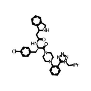 CC(C)Cn1nnnc1-c1ccccc1N1CCN(C(=O)[C@@H](Cc2ccc(Cl)cc2)NC(=O)CC2NCc3ccccc32)CC1